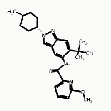 COc1cccc(C(=O)Nc2cc3cn([C@H]4CC[C@H](C)CC4)nc3cc2C(C)(C)O)n1